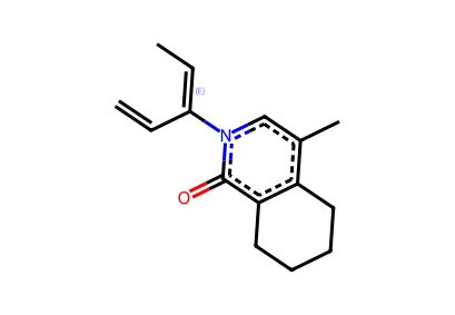 C=C/C(=C\C)n1cc(C)c2c(c1=O)CCCC2